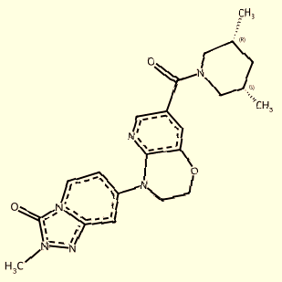 C[C@@H]1C[C@H](C)CN(C(=O)c2cnc3c(c2)OCCN3c2ccn3c(=O)n(C)nc3c2)C1